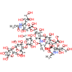 CC(=O)N[C@H]1[C@H](O[C@H]2[C@@H](O)[C@@H](CO)O[C@H](O[C@@H]3[C@H](O)[C@@H](O)[C@H](O[C@H]4[C@H](O)[C@@H](O)[C@H](O)O[C@@H]4CO)O[C@@H]3CO)[C@@H]2O)O[C@H](CO[C@]2(C(=O)O)C[C@H](O)[C@@H](NC(C)=O)[C@H]([C@H](O)[C@H](O)CO)O2)[C@H](O)[C@@H]1O[C@@H]1O[C@H](CO)[C@H](O)[C@H](O[C@]2(C(=O)O)C[C@H](O)[C@@H](NC(C)=O)[C@H]([C@H](O)[C@H](O)CO)O2)[C@H]1O